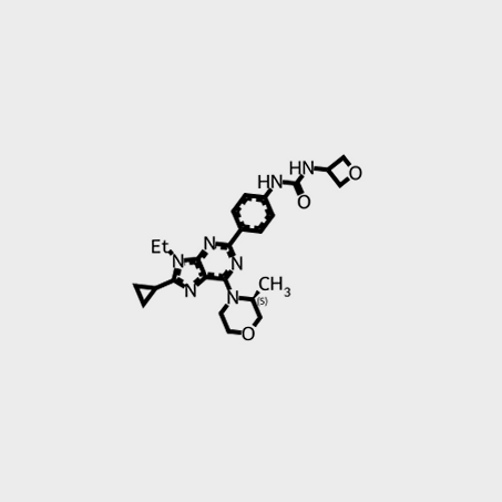 CCn1c(C2CC2)nc2c(N3CCOC[C@@H]3C)nc(-c3ccc(NC(=O)NC4COC4)cc3)nc21